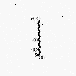 CCCCCCCCCCCCC(O)CC(O)=S.[Zn]